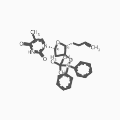 C=CCC[C@H]1O[C@@H](n2cc(C)c(=O)[nH]c2=O)C[C@@H]1O[Si](c1ccccc1)(c1ccccc1)C(C)(C)C